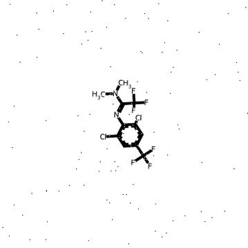 CN(C)C(=Nc1c(Cl)cc(C(F)(F)F)cc1Cl)C(F)(F)F